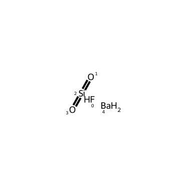 F.O=[Si]=O.[BaH2]